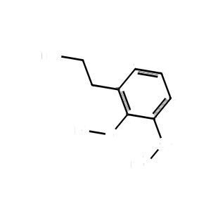 CCCc1c[c]cc(OC)c1OC